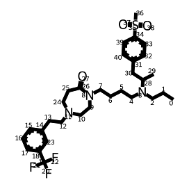 CCCN(CCCCN1CCN(CCc2cccc(C(F)(F)F)c2)CCC1=O)C(C)Cc1ccc(S(C)(=O)=O)cc1